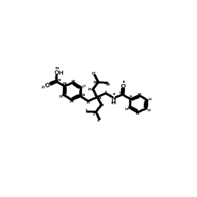 CC(C)CC(CNC(=O)c1ccccc1)(Cc1ccc(C(=O)O)cc1)CC(C)C